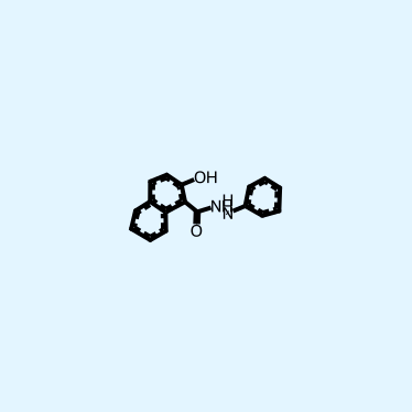 O=C(NNc1ccccc1)c1c(O)ccc2ccccc12